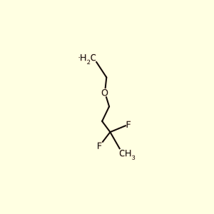 [CH2]COCCC(C)(F)F